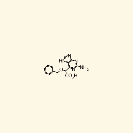 Nc1nc(C(OCc2ccccc2)C(=O)O)c2[nH]cnc2n1